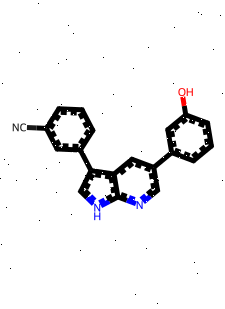 N#Cc1cccc(-c2c[nH]c3ncc(-c4cccc(O)c4)cc23)c1